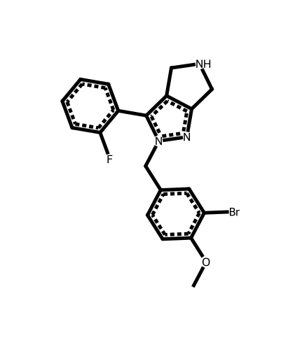 COc1ccc(Cn2nc3c(c2-c2ccccc2F)CNC3)cc1Br